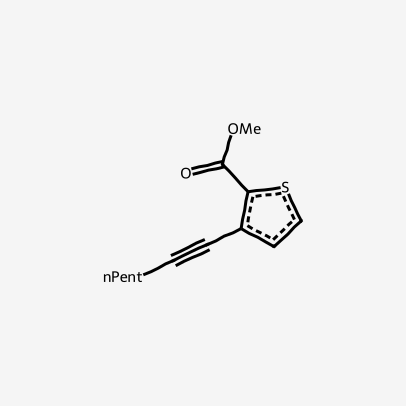 CCCCCC#Cc1ccsc1C(=O)OC